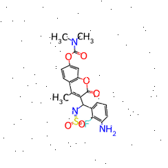 Cc1c(C(N=S(=O)=O)c2cccc(N)c2F)c(=O)oc2cc(OC(=O)N(C)C)ccc12